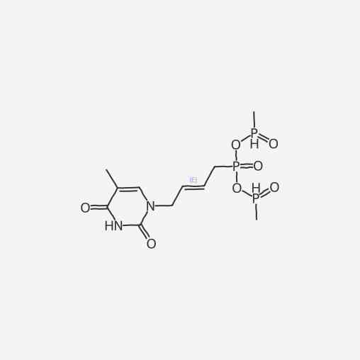 Cc1cn(C/C=C/CP(=O)(O[PH](C)=O)O[PH](C)=O)c(=O)[nH]c1=O